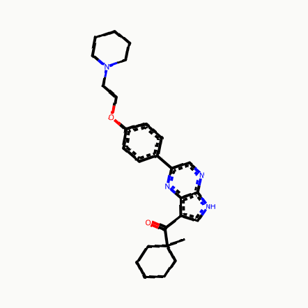 CC1(C(=O)c2c[nH]c3ncc(-c4ccc(OCCN5CCCCC5)cc4)nc23)CCCCC1